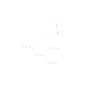 C=C(CC)C(=O)O.CN(C)Cc1ccccc1